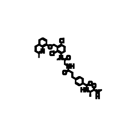 CNC(=O)[C@@H](C)NC(=O)c1ccc(C=CC(=O)NCC(=O)N(C)c2ccc(Cl)c(COc3cccc4ccc(C)nc34)c2Cl)cc1